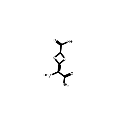 [NH]C(=O)C1SC(=C(C(N)=O)C(=O)O)S1